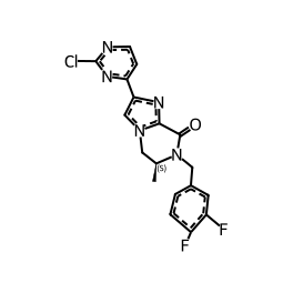 C[C@H]1Cn2cc(-c3ccnc(Cl)n3)nc2C(=O)N1Cc1ccc(F)c(F)c1